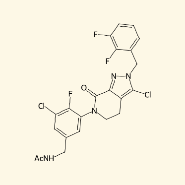 CC(=O)NCc1cc(Cl)c(F)c(N2CCc3c(nn(Cc4cccc(F)c4F)c3Cl)C2=O)c1